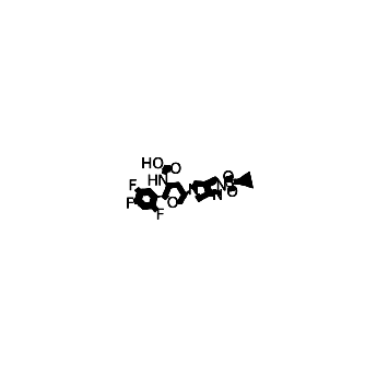 O=C(O)N[C@H]1C[C@@H](N2Cc3cn(S(=O)(=O)C4CC4)nc3C2)CO[C@@H]1c1cc(F)c(F)cc1F